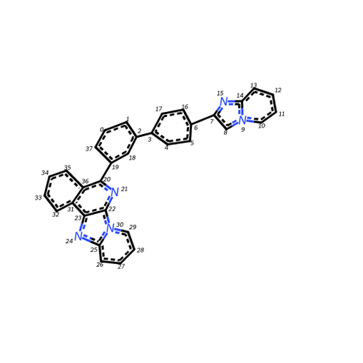 c1cc(-c2ccc(-c3cn4ccccc4n3)cc2)cc(-c2nc3c(nc4ccccn43)c3ccccc23)c1